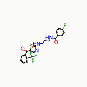 O=C(NCCCNc1ncc(C(=O)c2ccccc2C(F)(F)F)s1)c1ccc(F)cc1